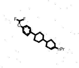 CCCC1=CCC(C2CCC(c3ccc(OC(F)F)cc3)CC2)CC1